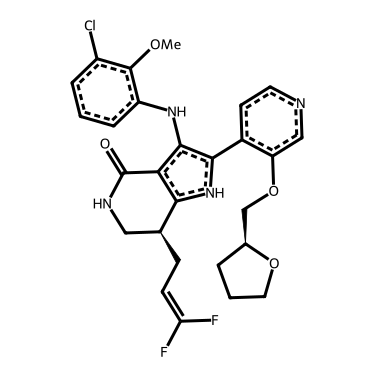 COc1c(Cl)cccc1Nc1c(-c2ccncc2OC[C@@H]2CCCO2)[nH]c2c1C(=O)NC[C@@H]2CC=C(F)F